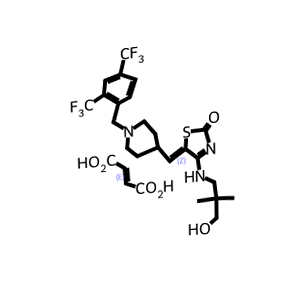 CC(C)(CO)CNC1=NC(=O)S/C1=C\C1CCN(Cc2ccc(C(F)(F)F)cc2C(F)(F)F)CC1.O=C(O)/C=C/C(=O)O